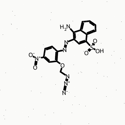 [N-]=[N+]=NCOc1cc([N+](=O)[O-])ccc1/N=N/c1cc(S(=O)(=O)O)c2ccccc2c1N